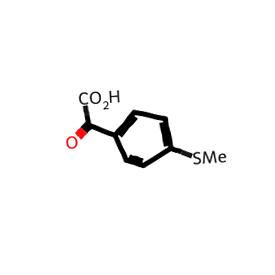 CSc1ccc(C(=O)C(=O)O)cc1